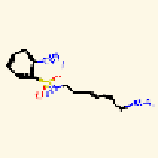 NCCCCCCNS(=O)(=O)c1ccccc1N